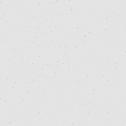 COc1cc2nn([C@H]3CC[C@H](CC=O)CC3)cc2cc1NC(=O)c1cccc(C(F)(F)F)n1